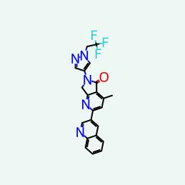 Cc1cc(-c2cnc3ccccc3c2)nc2c1C(=O)N(c1cnn(CC(F)(F)F)c1)C2